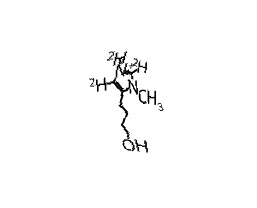 [2H]c1c(CCCCO)n(C)c([2H])[n+]1[2H]